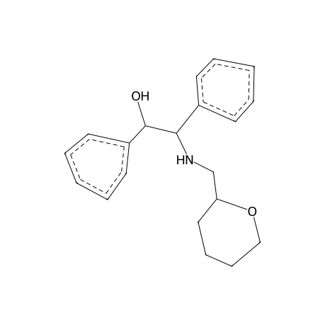 OC(c1ccccc1)C(NCC1CCCCO1)c1ccccc1